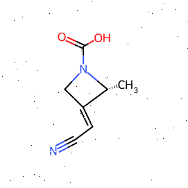 C[C@@H]1C(=CC#N)CN1C(=O)O